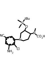 CN(C(=O)O)C1CCN(c2cc(C#N)cc(N)c2Cl)CC1O[Si](C)(C)C(C)(C)C